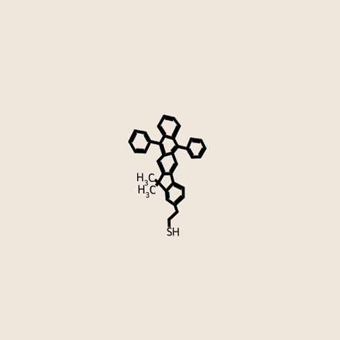 CC1(C)c2cc(CCS)ccc2-c2cc3c(-c4ccccc4)c4ccccc4c(-c4ccccc4)c3cc21